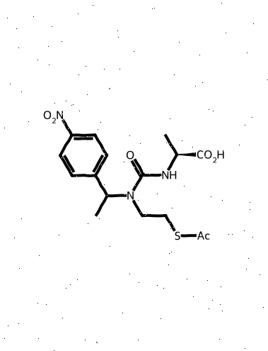 CC(=O)SCCN(C(=O)N[C@@H](C)C(=O)O)C(C)c1ccc([N+](=O)[O-])cc1